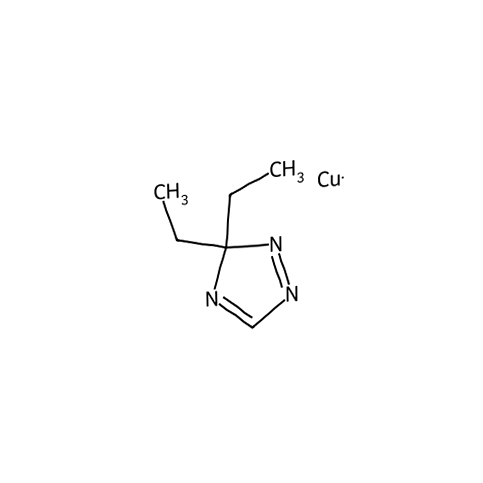 CCC1(CC)N=CN=N1.[Cu]